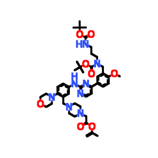 C=C(C)OC(=O)CN1CCN(Cc2cc(Nc3nccc(-c4ccc(OC)c(CN(CCCNC(=O)OC(C)(C)C)C(=O)OC(C)(C)C)c4)n3)ccc2N2CCOCC2)CC1